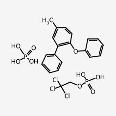 Cc1ccc(Oc2ccccc2)c(-c2ccccc2)c1.O=P(O)(O)O.O=P(O)(O)OCC(Cl)(Cl)Cl